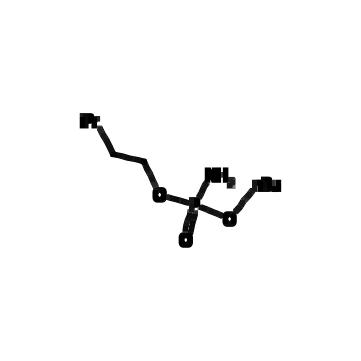 CCCCOP(N)(=O)OCCC(C)C